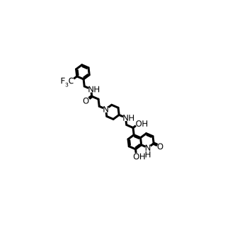 O=C(CCN1CCC(NCC(O)c2ccc(O)c3[nH]c(=O)ccc23)CC1)NCc1ccccc1C(F)(F)F